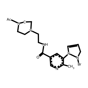 CC(=O)N1CCN(CCNC(=O)c2cnc(C)c(N3C=CCN3Br)c2)CC1